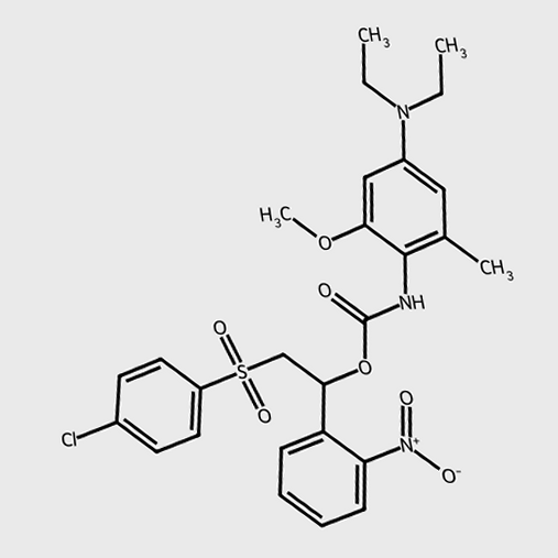 CCN(CC)c1cc(C)c(NC(=O)OC(CS(=O)(=O)c2ccc(Cl)cc2)c2ccccc2[N+](=O)[O-])c(OC)c1